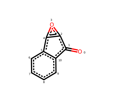 O=c1c2oc=2c2ccccc12